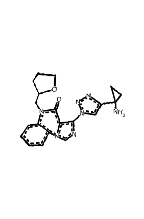 NC1(c2cn(-c3ncn4c3c(=O)n(CC3CCCO3)c3ccccc34)nn2)CC1